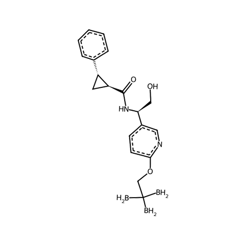 BC(B)(B)COc1ccc([C@H](CO)NC(=O)[C@H]2C[C@@H]2c2ccccc2)cn1